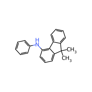 CC1(C)c2ccccc2-c2c(Nc3ccccc3)cccc21